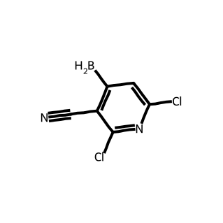 Bc1cc(Cl)nc(Cl)c1C#N